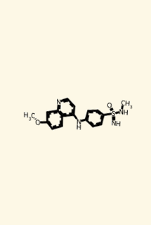 CNS(=N)(=O)c1ccc(Nc2ccnc3cc(OC)ccc23)cc1